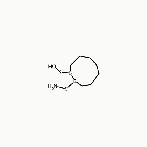 NSB1CCCCCCCB1SO